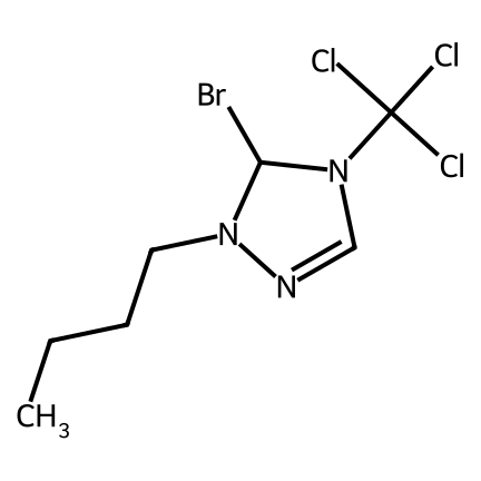 CCCCN1N=CN(C(Cl)(Cl)Cl)C1Br